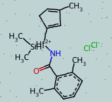 CC1=CC[C]([Hf+2]([NH]C(=O)c2c(C)cccc2C)[SiH](C)C)=C1.[Cl-].[Cl-]